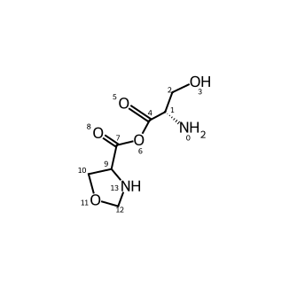 N[C@@H](CO)C(=O)OC(=O)C1COCN1